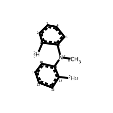 [2H]c1ccccc1N(C)c1ccccc1[2H]